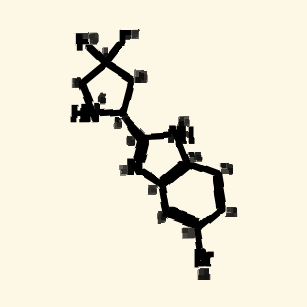 FC1(F)CN[C@H](c2nc3cc(Br)ccc3[nH]2)C1